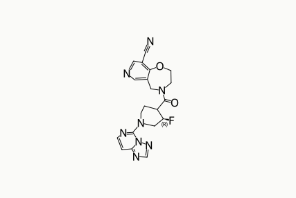 N#Cc1cncc2c1OCCN(C(=O)C1CCN(c3nccc4ncnn34)C[C@@H]1F)C2